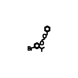 CC(C)c1cc(Br)ccc1OCCOCc1ccccc1